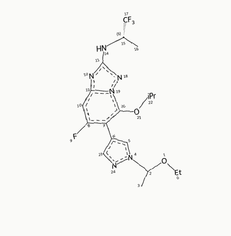 CCOC(C)n1cc(-c2c(F)cc3nc(N[C@@H](C)C(F)(F)F)nn3c2OC(C)C)cn1